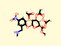 CNCc1cc([N+](=O)[O-])ccc1O[C@@H]1O[C@H](C(=O)OC)[C@@H](OC(C)=O)[C@H](OC(C)=O)[C@H]1OC(C)=O